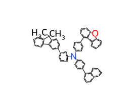 CC1(C)c2ccccc2-c2cc(-c3cccc(N(c4ccc(-c5cccc6ccccc56)cc4)c4ccc(-c5cccc6oc7ccccc7c56)cc4)c3)ccc21